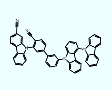 N#Cc1ccc2c3ccccc3n(-c3cc(-c4cccc(-n5c6ccccc6c6c(-n7c8ccccc8c8ccccc87)cccc65)c4)ccc3C#N)c2c1